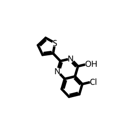 Oc1nc(-c2cccs2)nc2cccc(Cl)c12